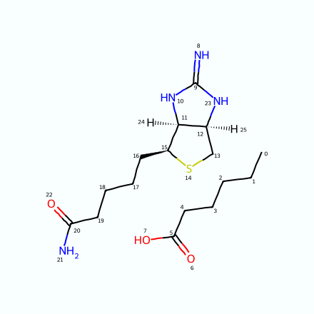 CCCCCC(=O)O.N=C1N[C@H]2[C@H](CS[C@H]2CCCCC(N)=O)N1